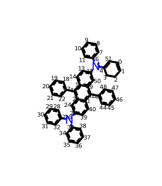 C1=CCCC(N(c2ccccc2)c2ccc3c(-c4ccccc4)c4cc(N(c5ccccc5)c5ccccc5)ccc4c(-c4ccccc4)c3c2)=C1